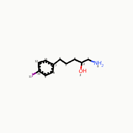 NCC(O)CCCc1ccc(I)cc1